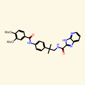 COc1ccc(C(=O)Nc2ccc(C(C)(C)CNC(=O)c3nc4cccnc4[nH]3)cc2)cc1OC